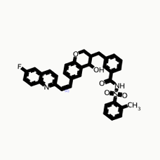 Cc1ccccc1S(=O)(=O)NC(=O)c1cccc(CC2COc3ccc(/C=C\c4ccc5cc(F)ccc5n4)cc3C2O)c1